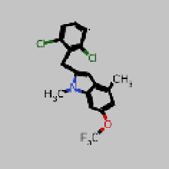 Cc1cc(OC(F)(F)F)cc2c1cc(Cc1c(Cl)[c]ccc1Cl)n2C